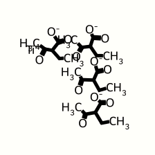 CCC(C(C)=O)C(=O)[O-].CCC(C(C)=O)C(=O)[O-].CCC(C(C)=O)C(=O)[O-].CCC(C(C)=O)C(=O)[O-].[Ti+4]